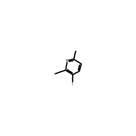 Cc1ccc(I)c(I)n1